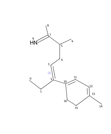 CC/C(=C/CC(C)C(C)=N)C1=CC=C(C)CC1